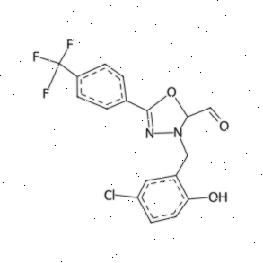 O=CC1OC(c2ccc(C(F)(F)F)cc2)=NN1Cc1cc(Cl)ccc1O